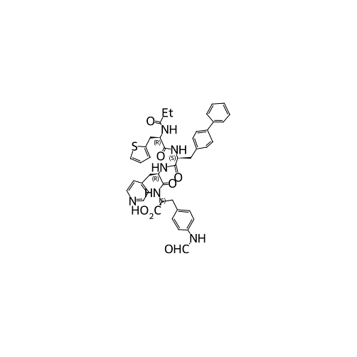 CCC(=O)N[C@H](Cc1cccs1)C(=O)N[C@@H](Cc1ccc(-c2ccccc2)cc1)C(=O)N[C@H](Cc1ccncc1)C(=O)N[C@@H](Cc1ccc(NC=O)cc1)C(=O)O